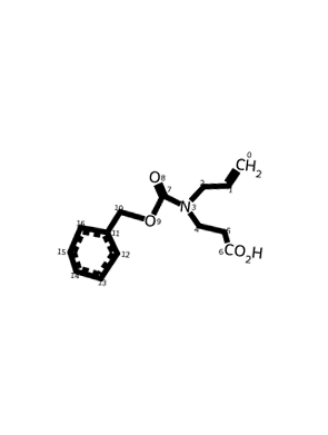 C=CCN(CCC(=O)O)C(=O)OCc1ccccc1